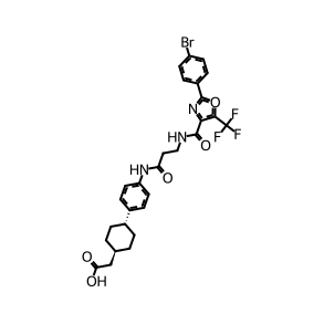 O=C(O)C[C@H]1CC[C@H](c2ccc(NC(=O)CCNC(=O)c3nc(-c4ccc(Br)cc4)oc3C(F)(F)F)cc2)CC1